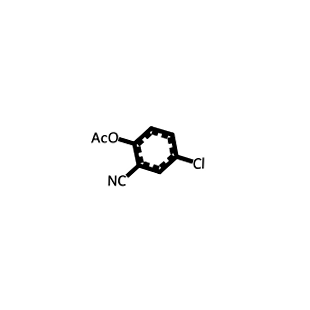 CC(=O)Oc1ccc(Cl)cc1C#N